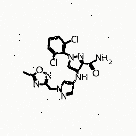 Cc1nc(Cn2cc(Nc3cn(-c4c(Cl)cccc4Cl)nc3C(N)=O)cn2)no1